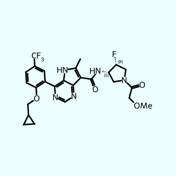 COCC(=O)N1C[C@@H](F)[C@@H](NC(=O)c2c(C)[nH]c3c(-c4cc(C(F)(F)F)ccc4OCC4CC4)ncnc23)C1